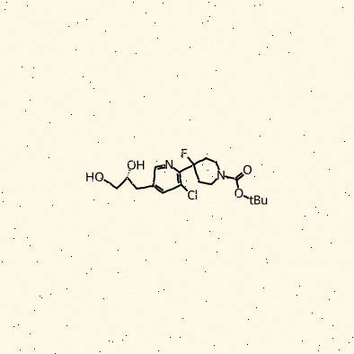 CC(C)(C)OC(=O)N1CCC(F)(c2ncc(C[C@@H](O)CO)cc2Cl)CC1